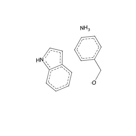 N.[O]Cc1ccccc1.c1ccc2[nH]ccc2c1